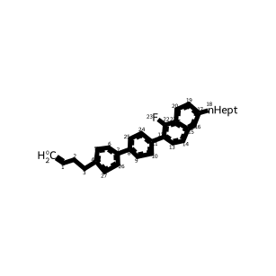 C=CCCc1ccc(-c2ccc(-c3ccc4cc(CCCCCCC)ccc4c3F)cc2)cc1